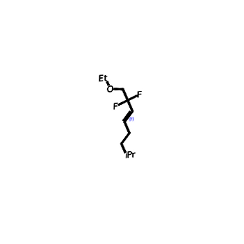 CCOCC(F)(F)/C=C/CCC(C)C